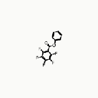 O=C(Oc1ccccc1)c1c(F)c(F)c(F)c(F)c1F